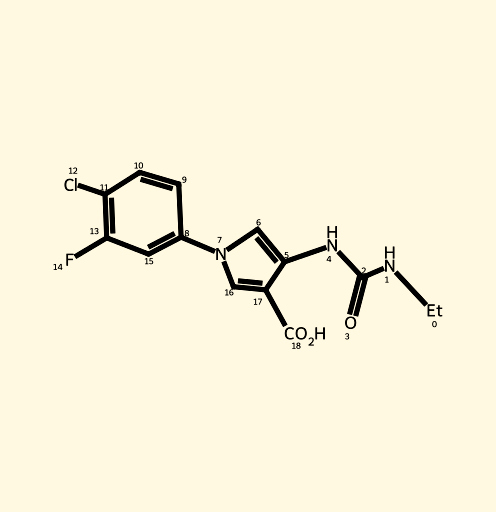 CCNC(=O)Nc1cn(-c2ccc(Cl)c(F)c2)cc1C(=O)O